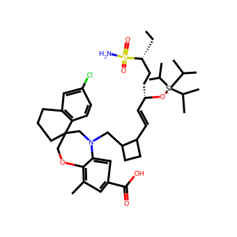 CC[C@H](CC[C@@H](/C=C/C1CCC1CN1CC2(CCCc3cc(Cl)ccc32)COc2c(C)cc(C(=O)O)cc21)O[Si](C(C)C)(C(C)C)C(C)C)S(N)(=O)=O